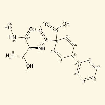 C[C@@H](O)[C@H](NC(=O)C1(C(=O)O)C=CC(c2ccccc2)C=C1)C(=O)NO